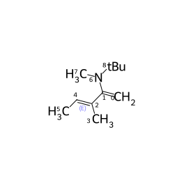 C=C(/C(C)=C/C)N(C)C(C)(C)C